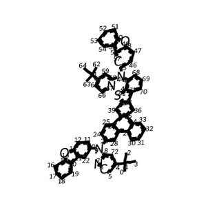 CC(C)(C)c1ccnc(N(c2ccc3oc4ccccc4c3c2)c2ccc3c(c2)c2ccccc2c2cc4c(cc32)sc2c(N(c3ccc5oc6ccccc6c5c3)c3cc(C(C)(C)C)ccn3)cccc24)c1